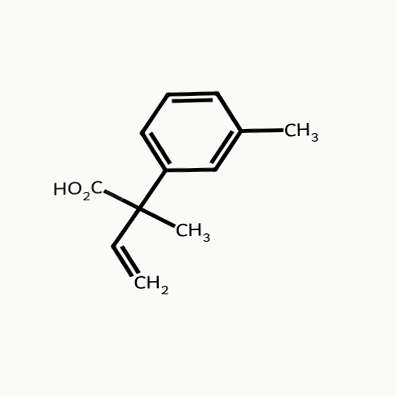 C=CC(C)(C(=O)O)c1cccc(C)c1